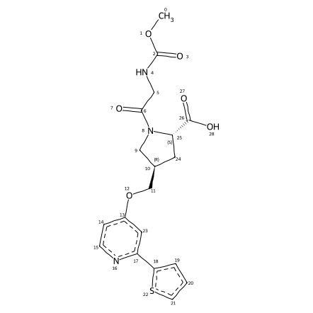 COC(=O)NCC(=O)N1C[C@H](COc2ccnc(-c3cccs3)c2)C[C@H]1C(=O)O